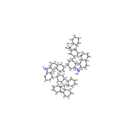 Cn1c2cccc(-c3ccc4c(c3)C(c3ccccc3)(c3ccccc3)c3ccccc3-4)c2c2c3ccc(-c4cc(-c5ccc6c(c5)C(C)(C)c5ccccc5-6)c5c6c7ccccc7ccc6n(C)c5c4)cc3ccc21